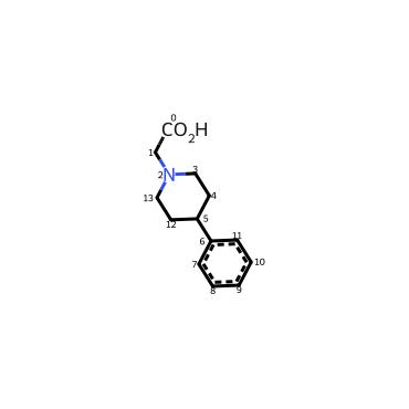 O=C(O)CN1CCC(c2ccccc2)CC1